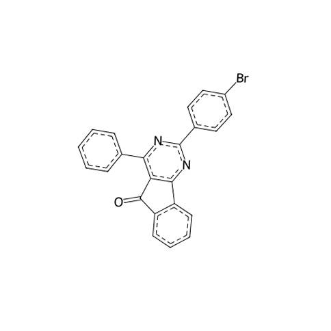 O=C1c2ccccc2-c2nc(-c3ccc(Br)cc3)nc(-c3ccccc3)c21